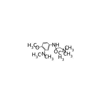 COc1ccc(NC(=O)C[N+](C)(C)C)cc1N(C)C